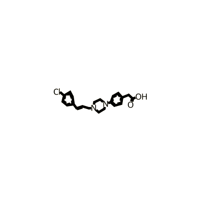 O=C(O)Cc1ccc(N2CCN(C/C=C/c3ccc(Cl)cc3)CC2)cc1